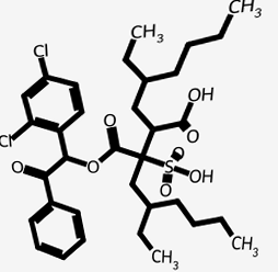 CCCCC(CC)CC(C(=O)O)C(CC(CC)CCCC)(C(=O)OC(C(=O)c1ccccc1)c1ccc(Cl)cc1Cl)S(=O)(=O)O